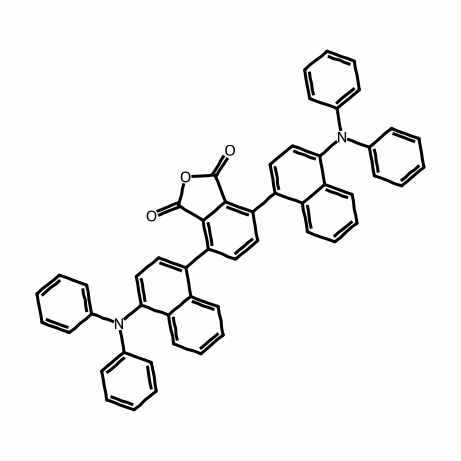 O=C1OC(=O)c2c(-c3ccc(N(c4ccccc4)c4ccccc4)c4ccccc34)ccc(-c3ccc(N(c4ccccc4)c4ccccc4)c4ccccc34)c21